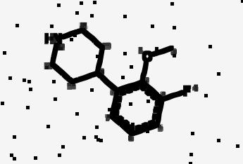 COc1c(F)cccc1C1CCNCC1